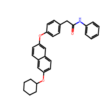 O=C(Cc1ccc(Oc2ccc3cc(OC4CCCCC4)ccc3c2)cc1)Nc1ccccc1